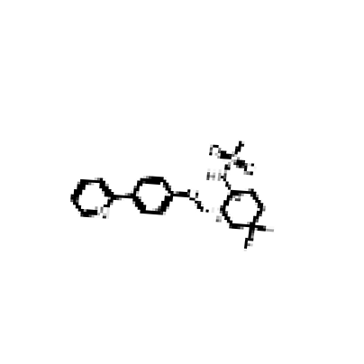 CS(=O)(=O)N[C@H]1CCC(F)(F)C[C@@H]1COc1ccc(-c2ccccn2)cc1